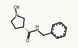 N#CN1CC[C@@H](C(=O)NCc2ccccc2)C1